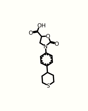 O=C(O)C1CN(c2ccc(C3CCSCC3)cc2)C(=O)O1